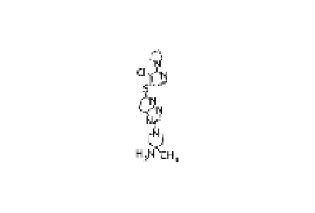 CC1(N)CCN(c2cnc3nc(Sc4ccnc(N5CCCC5)c4Cl)ccc3n2)CC1